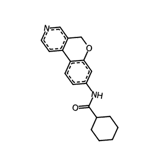 O=C(Nc1ccc2c(c1)OCc1cnccc1-2)C1CCCCC1